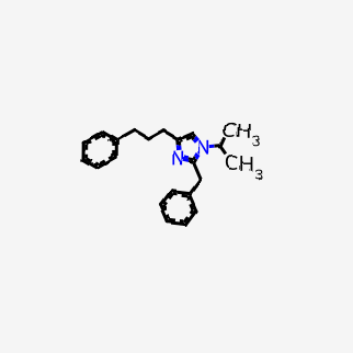 CC(C)n1cc(CCCc2ccccc2)nc1Cc1ccccc1